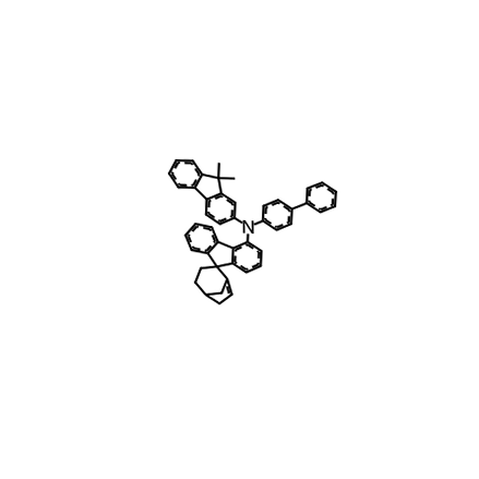 CC1(C)c2ccccc2-c2ccc(N(c3ccc(-c4ccccc4)cc3)c3cccc4c3-c3ccccc3C43CCC4CC=C3C4)cc21